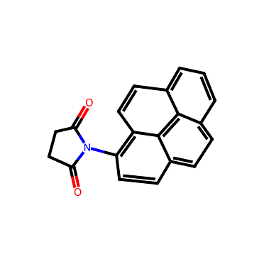 O=C1CCC(=O)N1c1ccc2ccc3cccc4ccc1c2c34